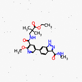 CCOC(=O)C(C)(C)CNC(=O)c1cc(-c2ccc3c(C(=O)NC)n[nH]c3c2)cnc1OC